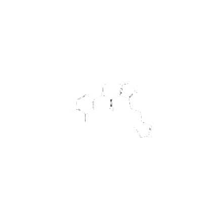 N=C(c1nonc1CCn1cncn1)N(O)c1ccc(F)c(Cl)c1